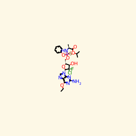 CCOc1nc(N)nc2c1ncn2[C@@H]1O[C@H](CO[P@@](=S)(N[C@@H](C)C(=O)OC(C)C)Oc2ccccc2)[C@@H](O)[C@]1(F)Cl